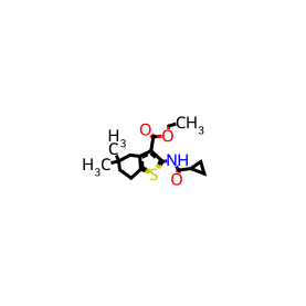 CCOC(=O)c1c(NC(=O)C2CC2)sc2c1CC(C)(C)CC2